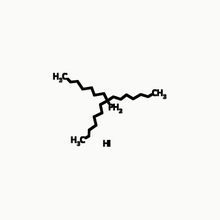 CCCCCCCC(P)(CCCCCCC)CCCCCCC.I